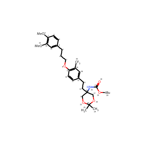 COc1ccc(CCCOc2ccc(CCC3(NC(=O)OC(C)(C)C)COC(C)(C)OC3)cc2C(F)(F)F)cc1OC